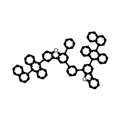 c1ccc(-c2cc(-c3cccc(-c4cc(-c5c6ccccc6c(-c6cccc7ccccc67)c6ccccc56)cc5c4oc4ccccc45)c3)cc3c2oc2ccc(-c4c5ccccc5c(-c5cccc6ccccc56)c5ccccc45)cc23)cc1